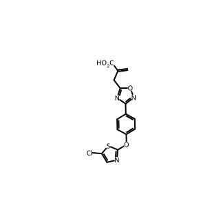 C=C(Cc1nc(-c2ccc(Oc3ncc(Cl)s3)cc2)no1)C(=O)O